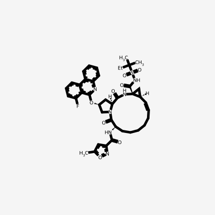 CCC(C)(C)S(=O)(=O)NC(=O)[C@@]12C[C@H]1/C=C\CCCCC[C@H](NC(=O)c1cc(C)on1)C(=O)N1C[C@H](Oc3nc4ccccc4c4cccc(F)c34)C[C@H]1C(=O)N2